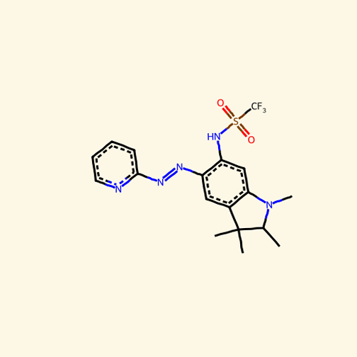 CC1N(C)c2cc(NS(=O)(=O)C(F)(F)F)c(N=Nc3ccccn3)cc2C1(C)C